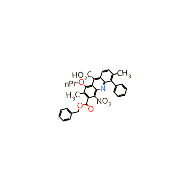 CCCOc1c(C)c(C(=O)OCc2ccccc2)c([N+](=O)[O-])c2nc3c(-c4ccccc4)c(C)ccc3c(C(=O)O)c12